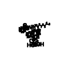 C=CC.CCCCCCCCCCCCOC(=O)c1cccnc1.CN1C(=O)CN=C(c2ccccc2)c2cc(Cl)ccc21.OCCO